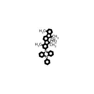 Cc1cccc2c1-c1ccc3c(c1C2(C)C)C(C)(C)c1cc(N2c4ccccc4N(c4ccccc4)c4ccccc42)cc(C)c1-3